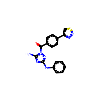 Nc1nc(Nc2ccccc2)nn1C(=O)c1ccc(-c2csnn2)cc1